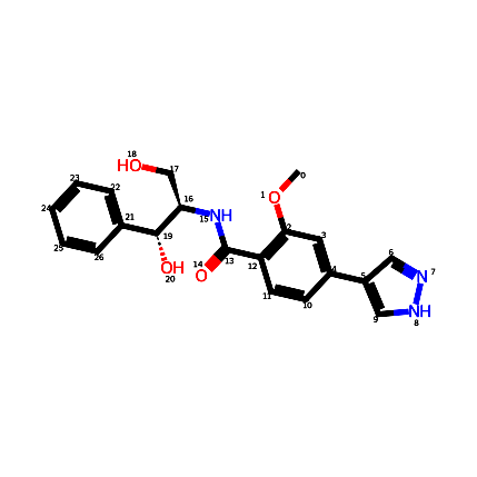 COc1cc(-c2cn[nH]c2)ccc1C(=O)N[C@H](CO)[C@H](O)c1ccccc1